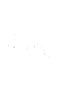 O=C(NCCC(c1ccccc1)c1ccccc1)c1ccc(-n2ccnc2)nc1